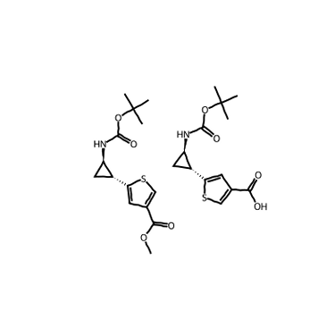 CC(C)(C)OC(=O)N[C@@H]1C[C@H]1c1cc(C(=O)O)cs1.COC(=O)c1csc([C@@H]2C[C@H]2NC(=O)OC(C)(C)C)c1